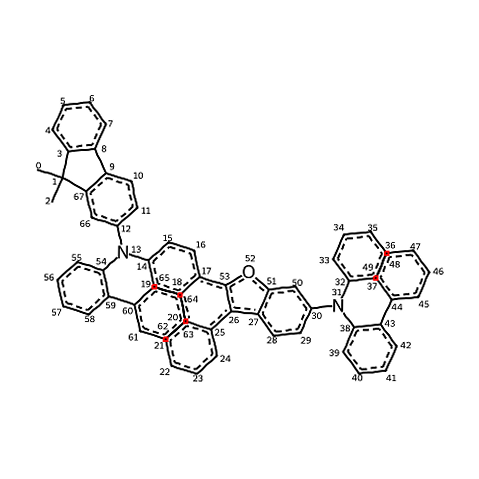 CC1(C)c2ccccc2-c2ccc(N(c3ccc4c(c3)c3ccccc3c3c5ccc(N(c6ccccc6)c6ccccc6-c6ccccc6)cc5oc43)c3ccccc3-c3ccccc3)cc21